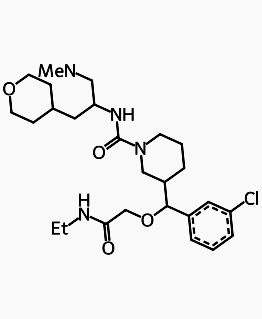 CCNC(=O)COC(c1cccc(Cl)c1)C1CCCN(C(=O)NC(CNC)CC2CCOCC2)C1